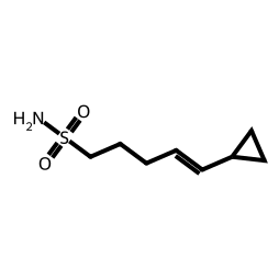 NS(=O)(=O)CCCC=CC1CC1